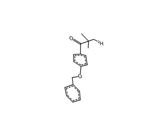 [2H]CC(C)(C)C(=O)c1ccc(OCc2ccccc2)cc1